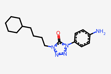 Nc1ccc(-n2nnn(CCCCC3CCCCC3)c2=O)cc1